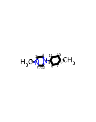 CN1CCN([C@H]2CC[C@@H](C)CC2)CC1